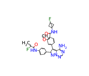 C=C(F)C(=O)Nc1ccc(-c2nn3ncnc(N)c3c2-c2ccc(C(=O)NC34CC(F)(C3)C4)c(OC)c2)cc1